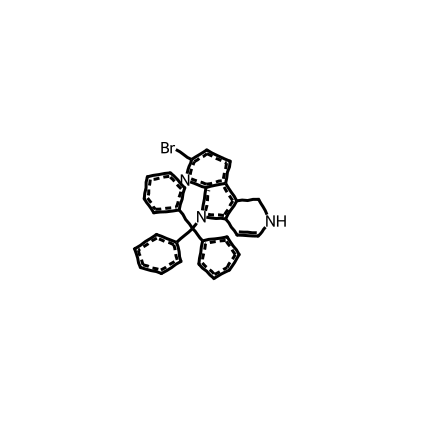 Brc1ccc2c3c(n(C(c4ccccc4)(c4ccccc4)c4ccccc4)c2n1)C=CNC3